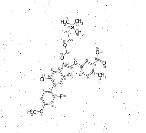 COc1ccc(-c2cc3nc(Oc4ccc(C)c(C(=O)O)c4)n(OCOCC[Si](C)(C)C)c3cc2Cl)c(F)c1